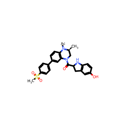 CC(=O)N1c2ccc(-c3ccc(S(C)(=O)=O)cc3)cc2N(C(=O)C2Cc3cc(O)ccc3N2)C[C@@H]1C